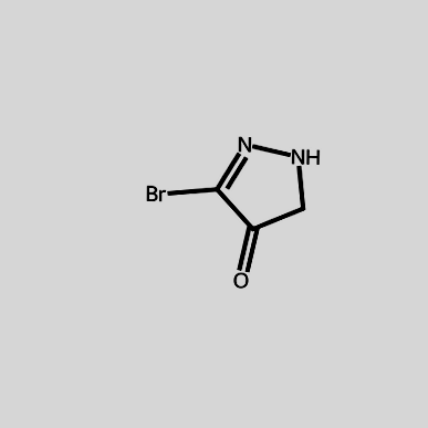 O=C1CNN=C1Br